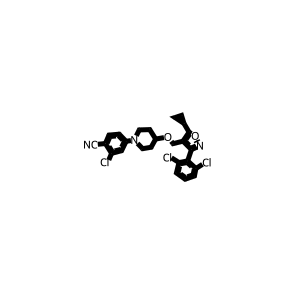 N#Cc1ccc(N2CCC(OCc3c(-c4c(Cl)cccc4Cl)noc3C3CC3)CC2)cc1Cl